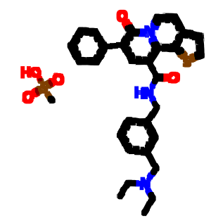 CCN(CC)Cc1cccc(CNC(=O)c2cc(-c3ccccc3)c(=O)n3ccc4ccsc4c23)c1.CS(=O)(=O)O